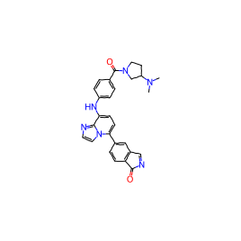 CN(C)C1CCN(C(=O)c2ccc(Nc3ccc(-c4ccc5c(c4)C=NC5=O)n4ccnc34)cc2)C1